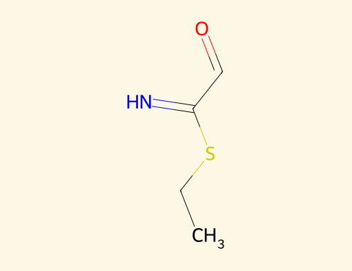 CCSC(=N)C=O